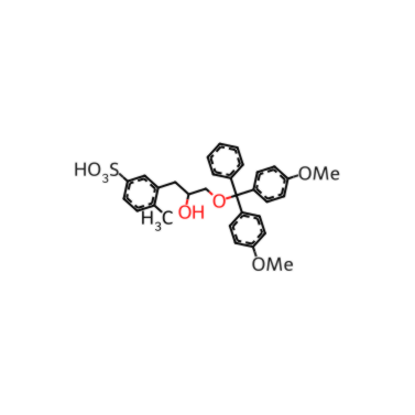 COc1ccc(C(OCC(O)Cc2cc(S(=O)(=O)O)ccc2C)(c2ccccc2)c2ccc(OC)cc2)cc1